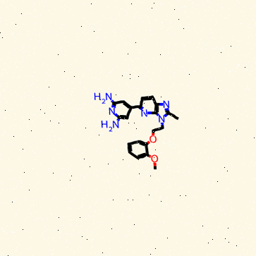 COc1ccccc1OCCn1c(C)nc2ccc(-c3cc(N)nc(N)c3)nc21